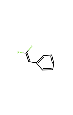 FC(F)=Cc1cc[c]cc1